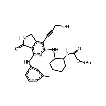 Cc1cccc(Nc2nc(NC3CCCCC3NC(=O)OC(C)(C)C)c(C#CCO)c3c2C(=O)NC3)c1